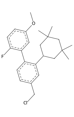 COc1ccc(F)c(-c2ccc(CCl)cc2C2CC(C)(C)CC(C)(C)C2)c1